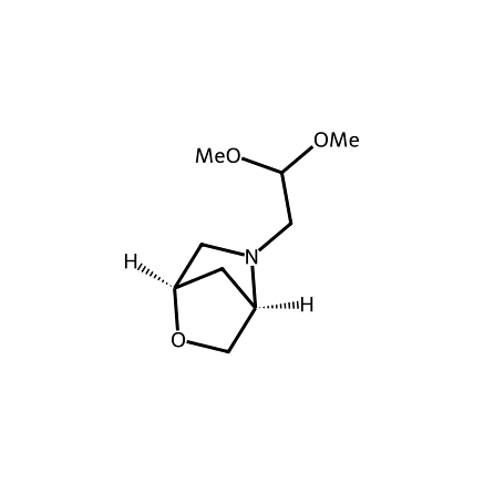 COC(CN1C[C@H]2C[C@@H]1CO2)OC